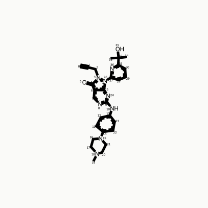 C#CCn1c(=O)c2cnc(Nc3ccc(N4CCN(C)CC4)cc3)nc2n1-c1cccc(C(C)(C)O)n1